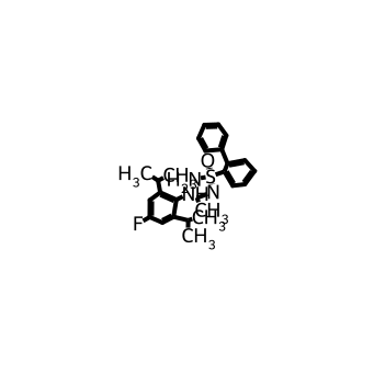 CC(N=S(N)(=O)c1ccccc1-c1ccccc1)Nc1c(C(C)C)cc(F)cc1C(C)C